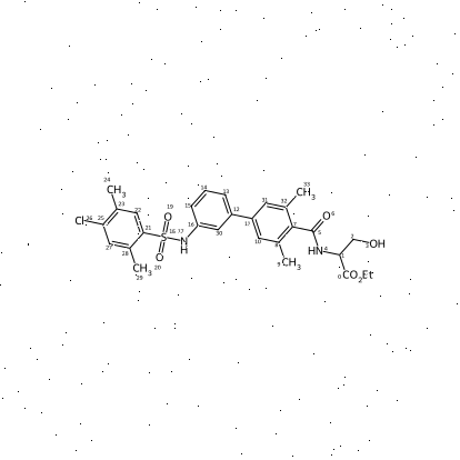 CCOC(=O)C(CO)NC(=O)c1c(C)cc(-c2cccc(NS(=O)(=O)c3cc(C)c(Cl)cc3C)c2)cc1C